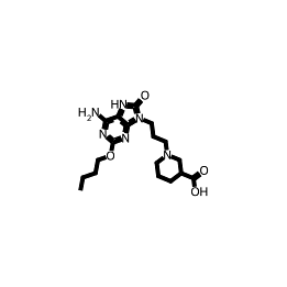 CCCCOc1nc(N)c2[nH]c(=O)n(CCCN3CCCC(C(=O)O)C3)c2n1